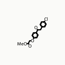 COC(=O)COc1ccc(C(=O)Cc2ccc(Cl)cc2)cc1